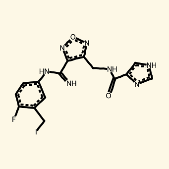 N=C(Nc1ccc(F)c(CI)c1)c1nonc1CNC(=O)c1c[nH]cn1